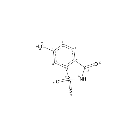 Cc1ccc2c(c1)S(=O)(=S)NC2=O